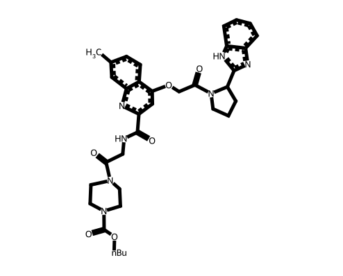 CCCCOC(=O)N1CCN(C(=O)CNC(=O)c2cc(OCC(=O)N3CCCC3c3nc4ccccc4[nH]3)c3ccc(C)cc3n2)CC1